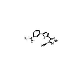 C[S+]([O-])c1cccc(-c2ccc(-c3n[nH]nc3C#N)s2)c1